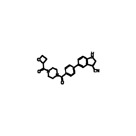 N#CC1CNc2ccc(-c3ccc(C(=O)N4CCN(C(=O)C5CCO5)CC4)cc3)cc21